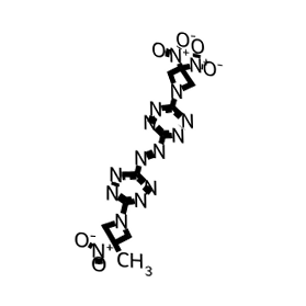 CC1([N+](=O)[O-])CN(c2nnc(N=Nc3nnc(N4CC([N+](=O)[O-])([N+](=O)[O-])C4)nn3)nn2)C1